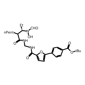 CCCCCC(C(=O)NCNC(=O)c1ccc(-c2ccc(C(=O)OC(C)(C)C)cc2)o1)[C@@H](CC)N(O)C=O